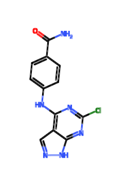 NC(=O)c1ccc(Nc2nc(Cl)nc3[nH]ncc23)cc1